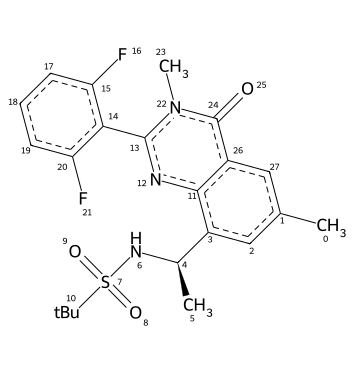 Cc1cc([C@@H](C)NS(=O)(=O)C(C)(C)C)c2nc(-c3c(F)cccc3F)n(C)c(=O)c2c1